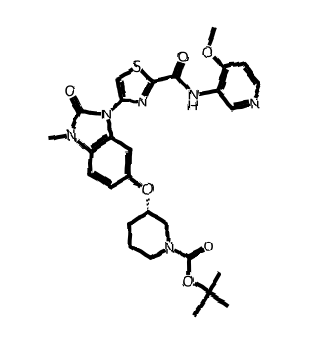 COc1ccncc1NC(=O)c1nc(-n2c(=O)n(C)c3ccc(O[C@H]4CCCN(C(=O)OC(C)(C)C)C4)cc32)cs1